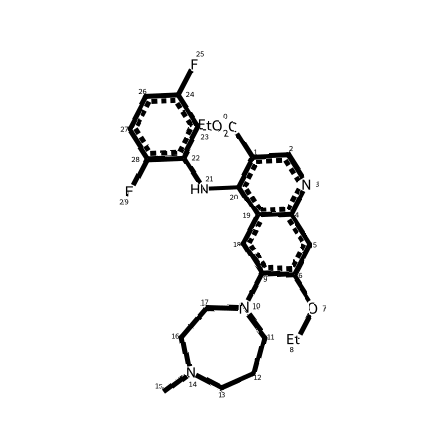 CCOC(=O)c1cnc2cc(OCC)c(N3CCCN(C)CC3)cc2c1Nc1cc(F)ccc1F